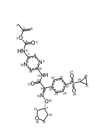 C=C(C)OC(=O)Nc1cnc(NC(=O)/C(=N/O[C@@H]2CCOC2)c2ccc(S(=O)(=O)C3CC3)cc2)cn1